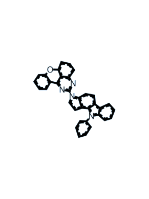 c1ccc(-n2c3ccccc3c3ccc4c(ccn4-c4nc5c6c(cccc6n4)Oc4ccccc4-5)c32)cc1